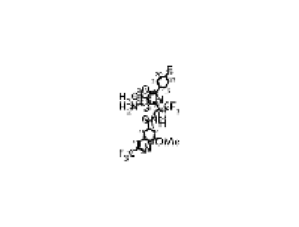 COc1cc(C(=O)NC[C@](O)(c2cc3c(c(-c4ccc(F)cc4)n2)OC[C@]3(C)C(N)=O)C(F)(F)F)cc2cc(C(F)(F)F)cnc12